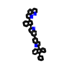 C1=Cc2c(c(-c3ccccc3)c3ccccc3c2-c2ccc3cc(-c4ccc5nc(-c6ccc(-c7ccc8ccc9cccnc9c8n7)c7ccccc67)ccc5c4)ccc3n2)CC1